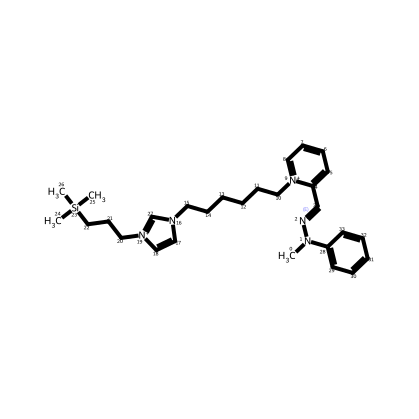 CN(/N=C/c1cccc[n+]1CCCCCCn1cc[n+](CCC[Si](C)(C)C)c1)c1ccccc1